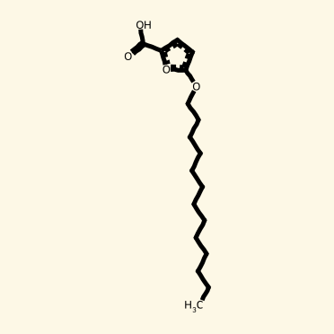 CCCCCCCCCCCCCOc1ccc(C(=O)O)o1